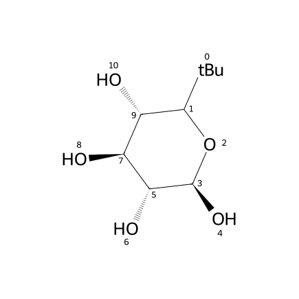 CC(C)(C)C1O[C@@H](O)[C@H](O)[C@@H](O)[C@@H]1O